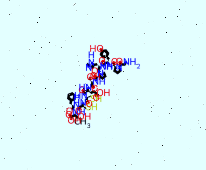 C[C@@H](O)[C@H](NC(=O)[C@H](Cc1ccccc1)NC(=O)[C@H](CS)NC(=O)[C@H](CS)NC(=O)[C@H](CCC(=O)O)NC(=O)[C@H](CO)NC(=O)[C@@H]1CCCN1C(=O)[C@H](Cc1cnc[nH]1)NC(=O)[C@H](Cc1ccc(O)cc1)NC(=O)[C@@H]1CCCN1C(=O)CN)C(=O)O